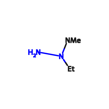 CCN(N)NC